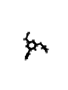 [C-]#[N+]Cc1cc(C#N)cc(CF)c1